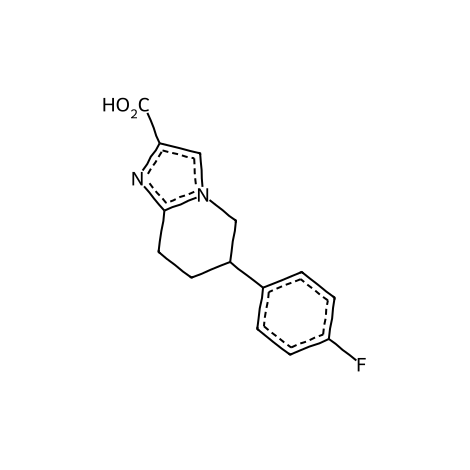 O=C(O)c1cn2c(n1)CCC(c1ccc(F)cc1)C2